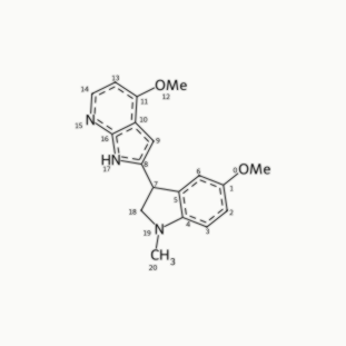 COc1ccc2c(c1)C(c1cc3c(OC)ccnc3[nH]1)CN2C